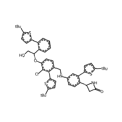 CC(C)(C)c1ccc(-c2cc(NCc3ccc(OC(CO)c4ccccc4-c4ccc(C(C)(C)C)s4)c(Cl)c3-c3ccc(C(C)(C)C)s3)ccc2C2CC(=O)N2)s1